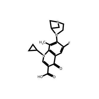 Cc1c(N2CCN3CC2C3)c(F)cc2c(=O)c(C(=O)O)cn(C3CC3)c12